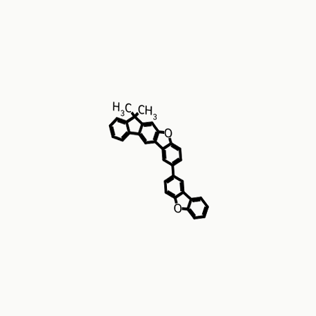 CC1(C)c2ccccc2-c2cc3c(cc21)oc1ccc(-c2ccc4oc5ccccc5c4c2)cc13